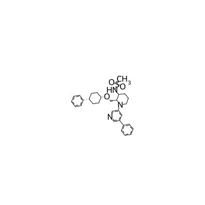 CS(=O)(=O)N[C@H]1CCCN(c2cncc(-c3ccccc3)c2)[C@H]1CO[C@H]1CC[C@@H](c2ccccc2)CC1